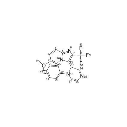 COc1ccc2nc(C(F)(F)F)c(C3C=NC=CN3c3ccc(C)cc3)n2c1